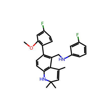 COc1cc(F)ccc1-c1ccc2c(c1CNc1cccc(F)c1)C(C)=CC(C)(C)N2